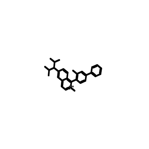 Cc1cc(-c2ccccc2)ccc1-c1c2ccc(C(C(C)C)C(C)C)cc2cc[n+]1C